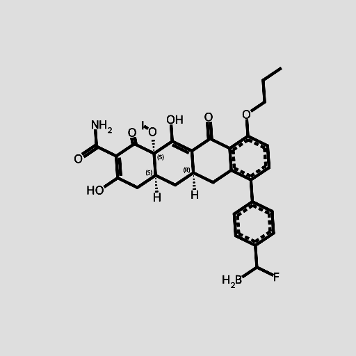 BC(F)c1ccc(-c2ccc(OCCC)c3c2C[C@H]2C[C@H]4CC(O)=C(C(N)=O)C(=O)[C@@]4(OI)C(O)=C2C3=O)cc1